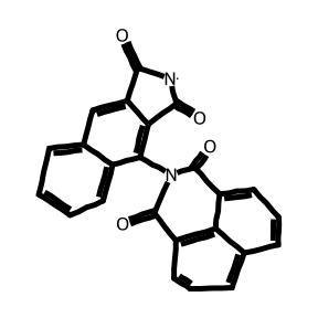 O=C1[N]C(=O)c2c1cc1ccccc1c2N1C(=O)c2cccc3cccc(c23)C1=O